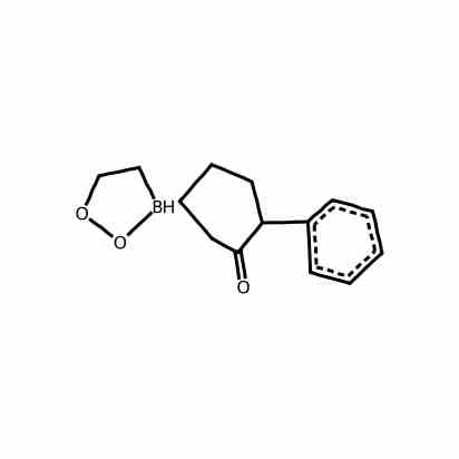 B1CCOO1.O=C1CCCCC1c1ccccc1